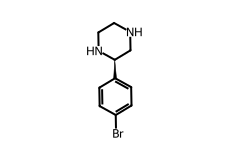 Brc1ccc([C@@H]2CNCCN2)cc1